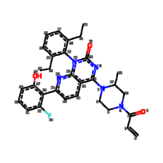 C=CC(=O)N1CCN(c2nc(=O)n(-c3c(CC)cccc3CC)c3nc(-c4c(O)cccc4F)ccc23)C(C)C1